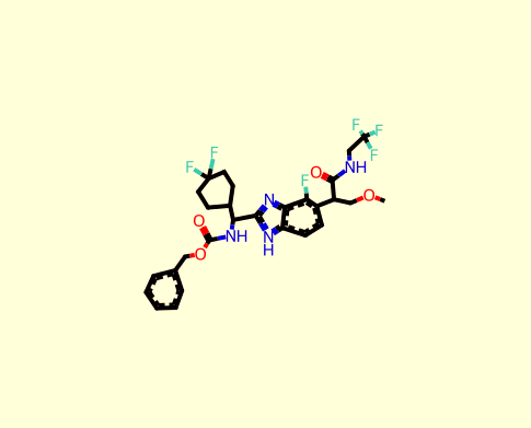 COCC(C(=O)NCC(F)(F)F)c1ccc2[nH]c(C(NC(=O)OCc3ccccc3)C3CCC(F)(F)CC3)nc2c1F